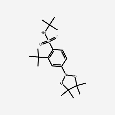 CC(C)(C)NS(=O)(=O)c1ccc(B2OC(C)(C)C(C)(C)O2)cc1C(C)(C)C